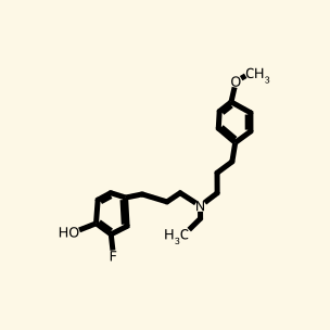 CCN(CCCc1ccc(OC)cc1)CCCc1ccc(O)c(F)c1